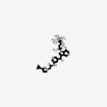 CC(C)(CCC(C)(C)[Si](C)(C)O)n1cc(C(=O)c2cncc(NC(=O)Cn3ccc(C4CC4)n3)c2)c2cncc(F)c21